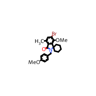 COc1ccc(CN2C(=O)c3c(C)cc(Br)c(OC)c3C23CCCCC3)cc1